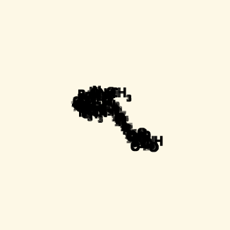 COc1cc(N2CCN(C3CCN(C4CN(c5ccc6c(c5)C(=O)N(C5CCC(=O)NC5=O)C6=O)C4)CC3)CC2)c(-c2cnn(C)c2)cc1Nc1ncc(Br)c(Nc2ccc3c(c2P(=O)(OC)OC)OCCO3)n1